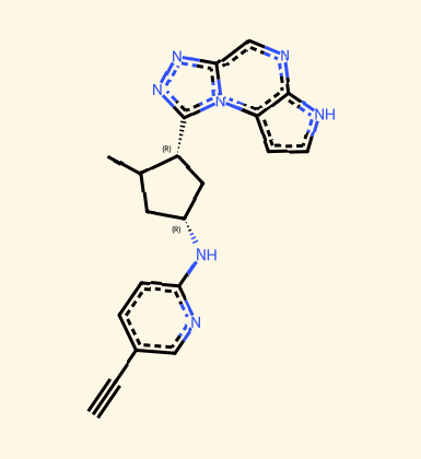 C#Cc1ccc(N[C@@H]2CC(C)[C@H](c3nnc4cnc5[nH]ccc5n34)C2)nc1